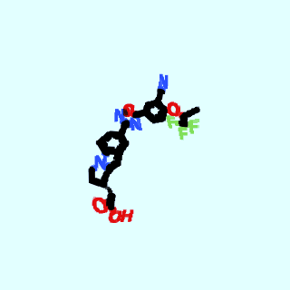 CC(Oc1ccc(-c2nc(-c3ccc4c(c3)cc3n4CC[C@H]3CC(=O)O)no2)cc1C#N)C(F)(F)F